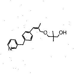 CC(=Cc1ccc(Cc2cccnc2)cc1)COCC(C)(C)CO